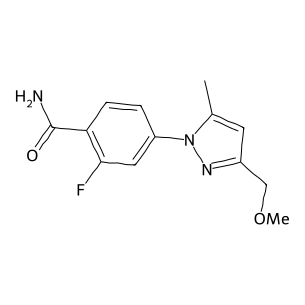 COCc1cc(C)n(-c2ccc(C(N)=O)c(F)c2)n1